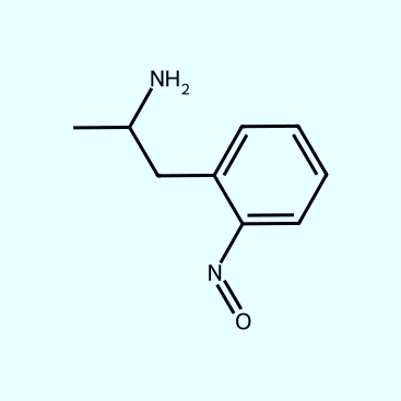 CC(N)Cc1ccccc1N=O